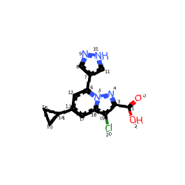 O=C(O)c1nn2c(-c3cn[nH]c3)cc(C3CC3)cc2c1Cl